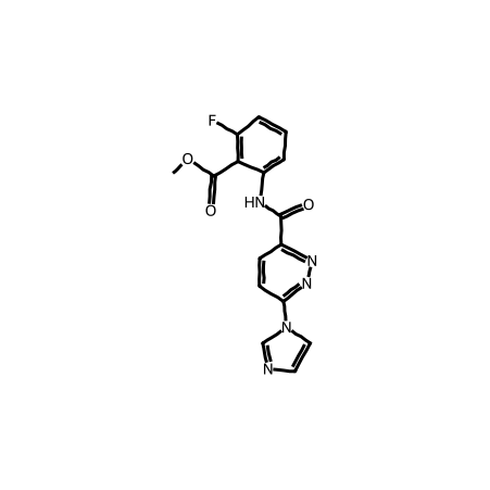 COC(=O)c1c(F)cccc1NC(=O)c1ccc(-n2ccnc2)nn1